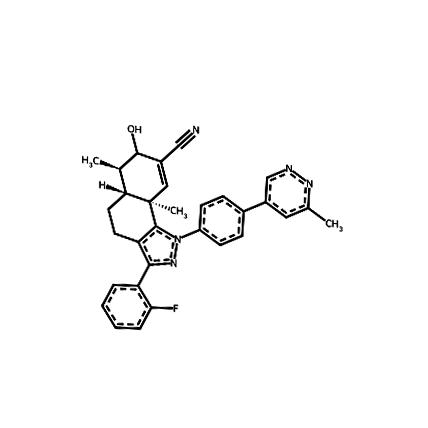 Cc1cc(-c2ccc(-n3nc(-c4ccccc4F)c4c3[C@]3(C)C=C(C#N)C(O)[C@H](C)[C@H]3CC4)cc2)cnn1